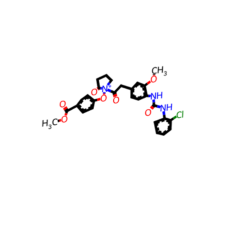 COC(=O)c1ccc(O[N+]2(C(=O)Cc3ccc(NC(=O)Nc4ccccc4Cl)c(OC)c3)CCCC2=O)cc1